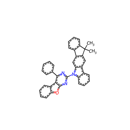 CC1(C)c2ccccc2-c2cc3c(cc21)c1ccccc1n3-c1nc(-c2ccccc2)c2c(n1)oc1ccccc12